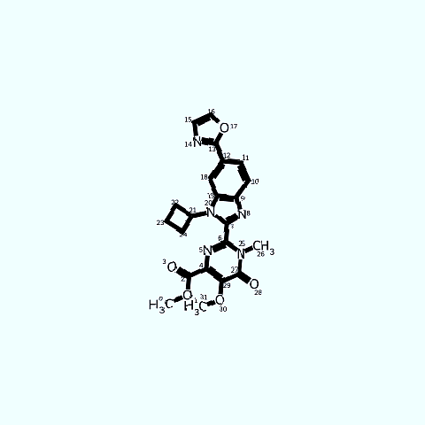 COC(=O)c1nc(-c2nc3ccc(-c4ncco4)cc3n2C2CCC2)n(C)c(=O)c1OC